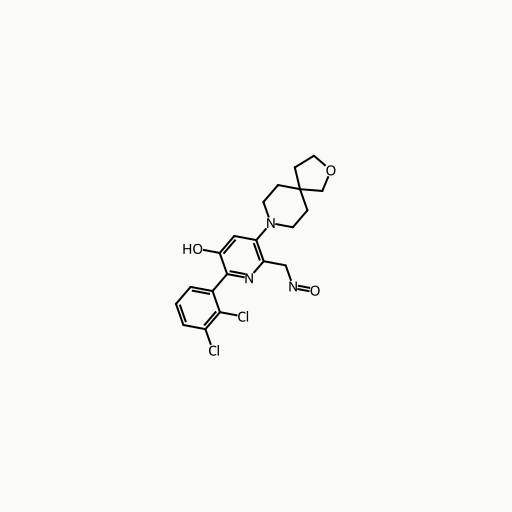 O=NCc1nc(-c2cccc(Cl)c2Cl)c(O)cc1N1CCC2(CCOC2)CC1